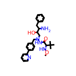 CONC(C(=O)NN(Cc1ccc(-c2ccccn2)cc1)CC(O)C(N)Cc1ccccc1)C(C)(C)C